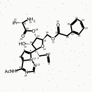 C=NC[C@@]1(c2ccc3c(NC(C)=O)ncnn23)O[C@H](COC(=O)Cc2ccccc2)[C@@H](OC(=O)[C@@H](N)C(C)C)[C@H]1O